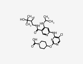 CC(C)Nc1cc(Nc2nc(OC3CCN(C(=O)O)CC3)ncc2Cl)ncc1C(=O)NCC(F)C(C)(C)O